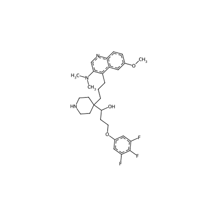 COc1ccc2ncc(N(C)C)c(CCCC3(C(O)CCOc4cc(F)c(F)c(F)c4)CCNCC3)c2c1